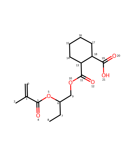 C=C(C)C(=O)OC(CC)COC(=O)C1CCCCC1C(=O)O